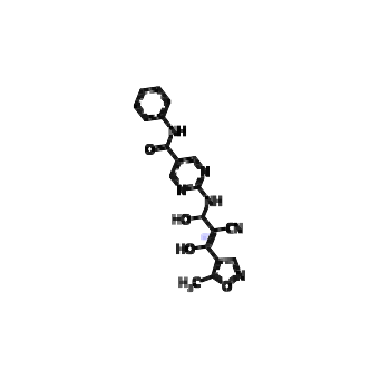 Cc1oncc1/C(O)=C(\C#N)C(O)Nc1ncc(C(=O)Nc2ccccc2)cn1